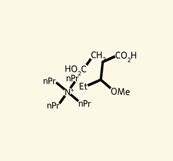 CC(=O)O.CCC(CC(=O)O)OC.CCC[N+](CCC)(CCC)CCC